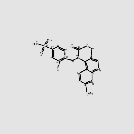 COc1ccc2c3c(cnc2n1)COC(=O)N3Cc1ccc(S(N)(=O)=O)cc1F